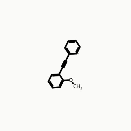 COc1ccccc1C#Cc1[c]cccc1